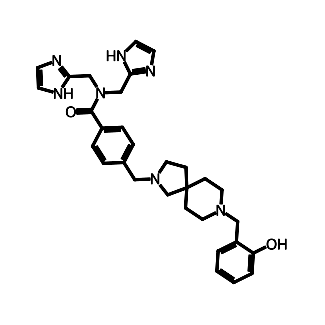 O=C(c1ccc(CN2CCC3(CCN(Cc4ccccc4O)CC3)C2)cc1)N(Cc1ncc[nH]1)Cc1ncc[nH]1